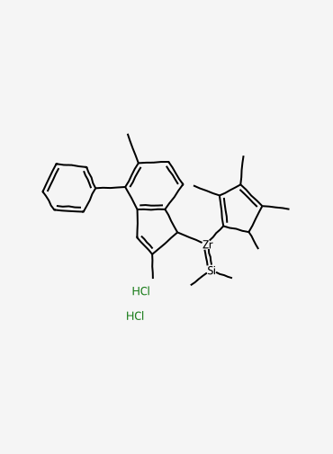 CC1=Cc2c(ccc(C)c2-c2ccccc2)[CH]1[Zr]([C]1=C(C)C(C)=C(C)C1C)=[Si](C)C.Cl.Cl